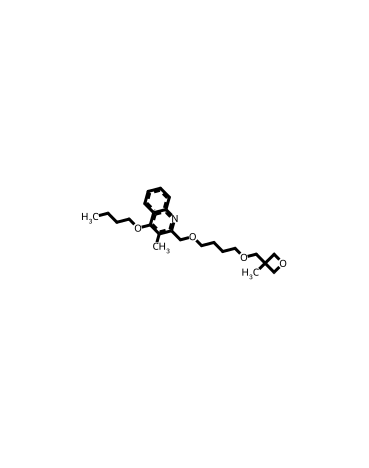 CCCCOc1c(C)c(COCCCCOCC2(C)COC2)nc2ccccc12